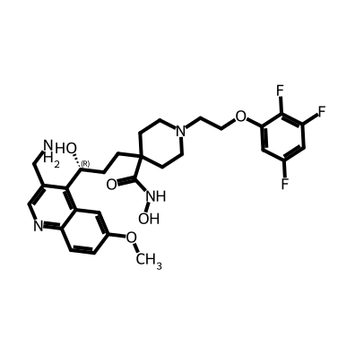 COc1ccc2ncc(CN)c([C@H](O)CCC3(C(=O)NO)CCN(CCOc4cc(F)cc(F)c4F)CC3)c2c1